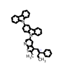 C=C/C(=C\c1c(C)sc2ncc(-n3c4ccccc4c4cc(-n5c6ccccc6c6ccccc65)ccc43)cc12)c1ccccc1